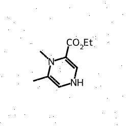 CCOC(=O)C1=CNC=C(C)N1C